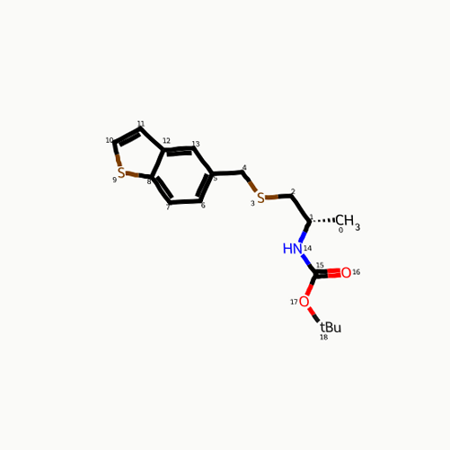 C[C@@H](CSCc1ccc2sccc2c1)NC(=O)OC(C)(C)C